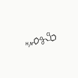 Nc1ccc(OC(=O)C=Cc2ccccc2Cl)cc1